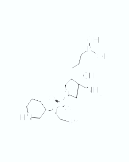 CC(C)CN([C@@H]1CCCNC1)S(=O)(=O)N1C[C@H](CCCB(O)O)[C@@](C)(N)C1